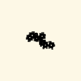 c1ccc(-c2ccc3cnc(-n4c5ccccc5c5c6oc7ccc8ccccc8c7c6ccc54)nc3c2)cc1